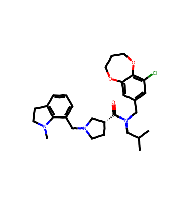 CC(C)CN(Cc1cc(Cl)c2c(c1)OCCCO2)C(=O)[C@@H]1CCN(Cc2cccc3c2N(C)CC3)C1